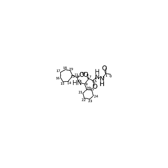 CC(=O)NNC(=O)C(=O)C(NC(=O)C1CCCCCC1)C1CCCCC1